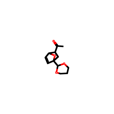 CC(=O)C1CC2(C3OCCCO3)C=CC1O2